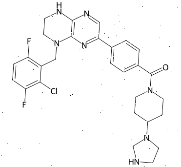 O=C(c1ccc(-c2cnc3c(n2)N(Cc2c(F)ccc(F)c2Cl)CCN3)cc1)N1CCC(N2CCNC2)CC1